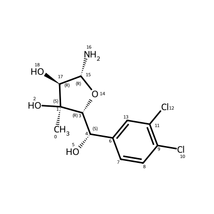 C[C@@]1(O)[C@@H]([C@@H](O)c2ccc(Cl)c(Cl)c2)O[C@@H](N)[C@@H]1O